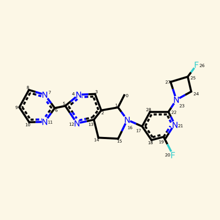 CC1c2cnc(-c3ncccn3)nc2CCN1c1cc(F)nc(N2CC(F)C2)c1